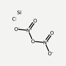 O=[N+]([O-])O[N+](=O)[O-].[C].[Si]